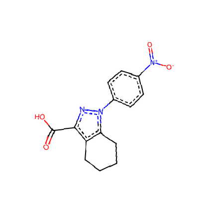 O=C(O)c1nn(-c2ccc([N+](=O)[O-])cc2)c2c1CCCC2